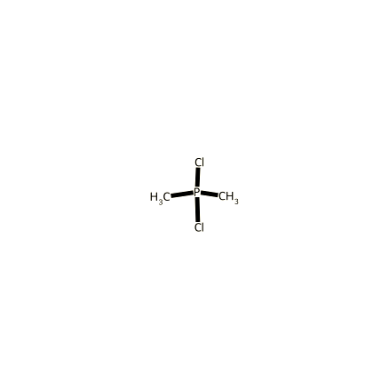 C[P](C)(Cl)Cl